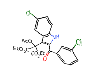 CCOC(=O)C(OC(C)=O)(C(=O)OCC)c1c(C(=O)c2cccc(Cl)c2)[nH]c2ccc(Cl)cc12